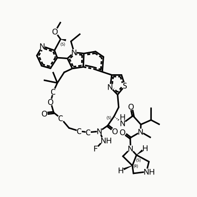 CCn1c(-c2cccnc2[C@H](C)OC)c2c3cc(ccc31)-c1csc(n1)C[C@H](NC(=O)C(C(C)C)N(C)C(=O)N1C[C@H]3CNC[C@H]31)C(=O)N(NF)CCCCC(=O)OCC(C)(C)C2